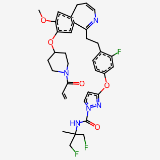 C=CC(=O)N1CCC(Oc2cc3c(cc2OC)CC=CN=C3CCc2ccc(Oc3ccn(C(=O)NC(C)(CF)CF)n3)cc2F)CC1